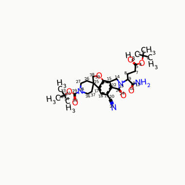 CC(C)(C)OC(=O)CCC(C(N)=O)N1Cc2c3c(cc(C#N)c2C1=O)C1(CCN(C(=O)OC(C)(C)C)CC1)CO3